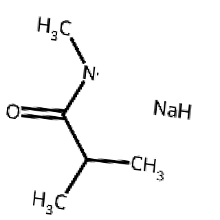 C[N]C(=O)C(C)C.[NaH]